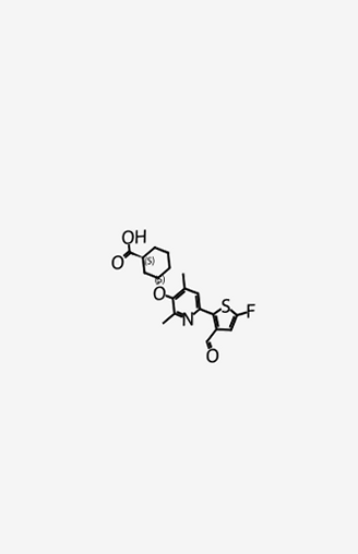 Cc1cc(-c2sc(F)cc2C=O)nc(C)c1O[C@H]1CCC[C@H](C(=O)O)C1